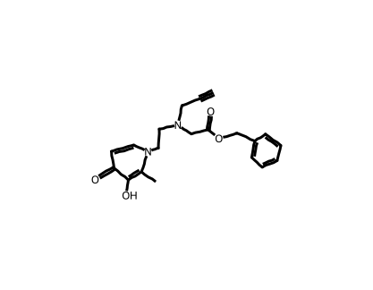 C#CCN(CCn1ccc(=O)c(O)c1C)CC(=O)OCc1ccccc1